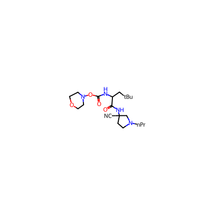 CCCN1CCC(C#N)(NC(=O)C(CC(C)(C)C)NC(=O)ON2CCOCC2)C1